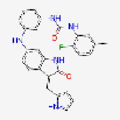 Cc1ccc(F)c(NC(=O)Nc2cccc(Nc3ccc4c(c3)NC(=O)C4=Cc3ccc[nH]3)c2)c1